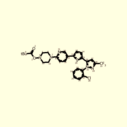 CC(C)(C)C(=O)ON1CCN(c2ccc(-c3ccc(-c4cc(C(F)(F)F)nn4-c4ccccc4Cl)s3)cn2)CC1